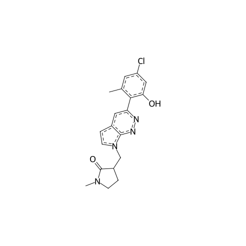 Cc1cc(Cl)cc(O)c1-c1cc2ccn(CC3CCN(C)C3=O)c2nn1